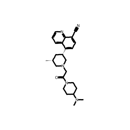 C[C@@H]1C[C@H](c2ccc(C#N)c3ncccc23)CN(CC(=O)N2CCC(N(C)C)CC2)C1